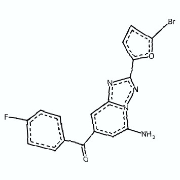 Nc1cc(C(=O)c2ccc(F)cc2)cc2nc(-c3ccc(Br)o3)nn12